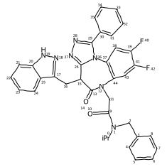 CC(C)N(Cc1ccccc1)C(=O)CN1C(=O)C(Cc2n[nH]c3ccccc23)c2nnc(-c3ccccc3)n2-c2cc(F)c(F)cc21